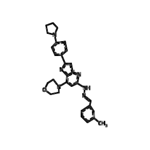 Cc1cccc(/C=N/Nc2cc(N3CCOCC3)c3nc(-c4ccc(N5CCCC5)cc4)cn3n2)c1